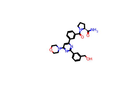 NC(=O)[C@@H]1CCCN1C(=O)c1cccc(-c2cc(N3CCOCC3)nc(-c3cccc(CO)c3)n2)c1